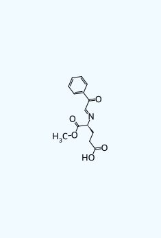 COC(=O)[C@H](CCC(=O)O)N=CC(=O)c1ccccc1